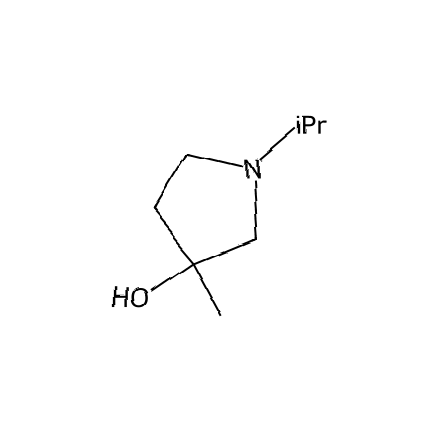 CC(C)N1CCC(C)(O)C1